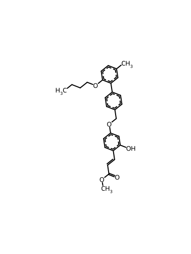 CCCCOc1ccc(C)cc1-c1ccc(COc2ccc(/C=C/C(=O)OC)c(O)c2)cc1